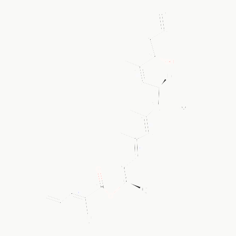 C=C/C=C(\CC)C(=O)O[C@@H](C/C=C(C)/C=C(\C)[C@@H](OC)[C@@H](/C=C(/C)[C@@H](O)CC=C)CC)C(C)C